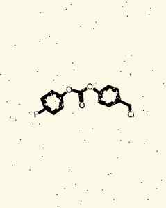 O=C(Oc1ccc(F)cc1)Oc1ccc(CCl)cc1